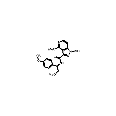 COCC(NC(=O)c1nn(C(C)(C)C)c2ccnc(OC)c12)c1ccc(OC(F)(F)F)cc1